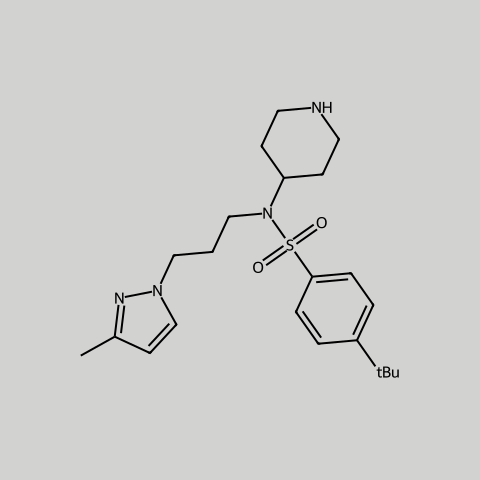 Cc1ccn(CCCN(C2CCNCC2)S(=O)(=O)c2ccc(C(C)(C)C)cc2)n1